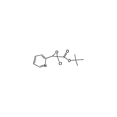 CC(C)(C)OC(=O)C1(Cl)OC1c1ccccn1